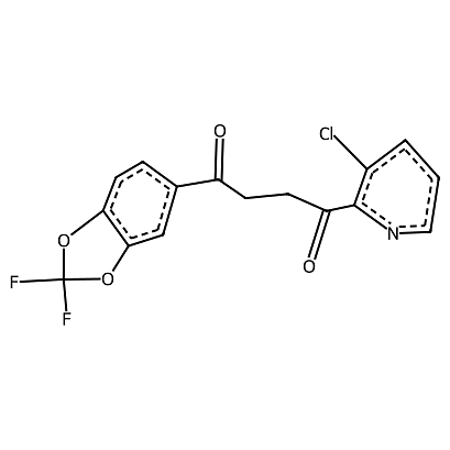 O=C(CCC(=O)c1ncccc1Cl)c1ccc2c(c1)OC(F)(F)O2